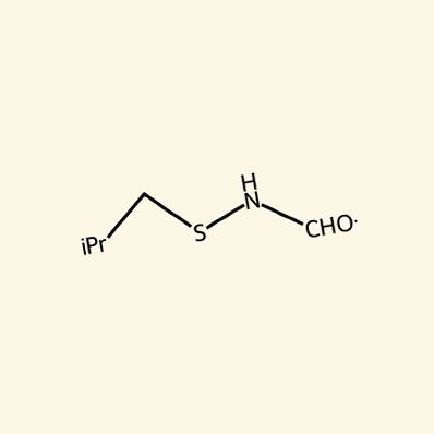 CC(C)CSN[C]=O